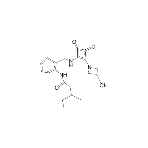 CCC(C)CC(=O)Nc1ccccc1CNc1c(N2CC(O)C2)c(=O)c1=O